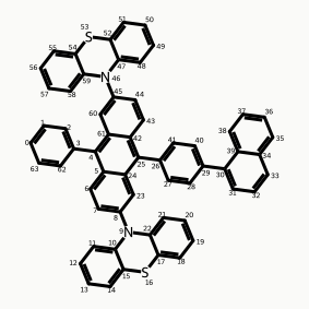 c1ccc(-c2c3ccc(N4c5ccccc5Sc5ccccc54)cc3c(-c3ccc(-c4cccc5ccccc45)cc3)c3ccc(N4c5ccccc5Sc5ccccc54)cc23)cc1